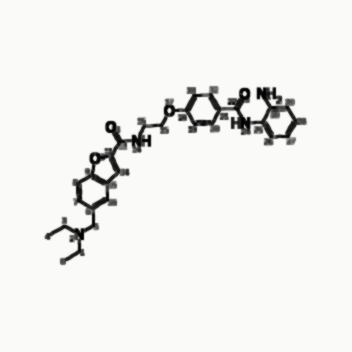 CCN(CC)Cc1ccc2oc(C(=O)NCCOc3ccc(C(=O)Nc4ccccc4N)cc3)cc2c1